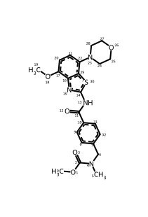 COC(=O)N(C)Cc1ccc(C(=O)Nc2nc3c(OC)ccc(N4CCOCC4)c3s2)cc1